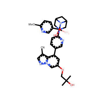 BC(O)(c1ccc(OC)nc1)N1C2CC1CN(c1ccc(-c3cc(OCC(C)(C)O)cn4ncc(C#N)c34)cn1)C2